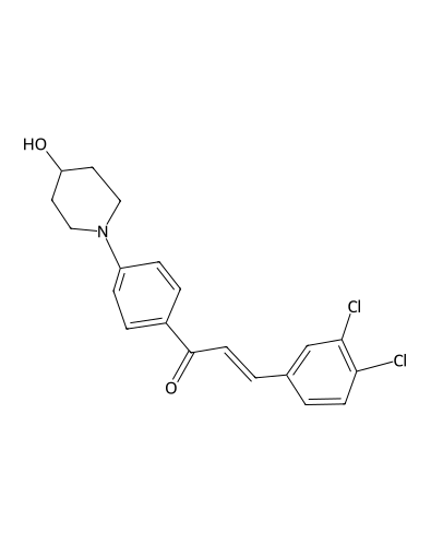 O=C(C=Cc1ccc(Cl)c(Cl)c1)c1ccc(N2CCC(O)CC2)cc1